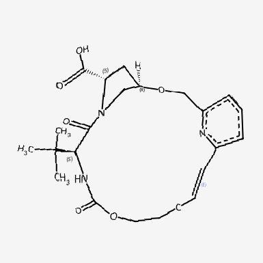 CC(C)(C)[C@@H]1NC(=O)OCCC/C=C/c2cccc(n2)CO[C@@H]2C[C@@H](C(=O)O)N(C2)C1=O